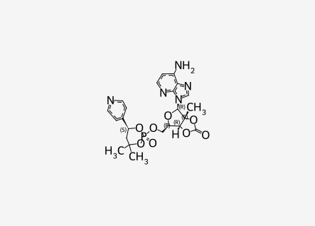 CC1(C)C[C@@H](c2ccncc2)OP(=O)(OC[C@H]2O[C@@H](n3cnc4c(N)ccnc43)[C@]3(C)OC(=O)O[C@H]23)O1